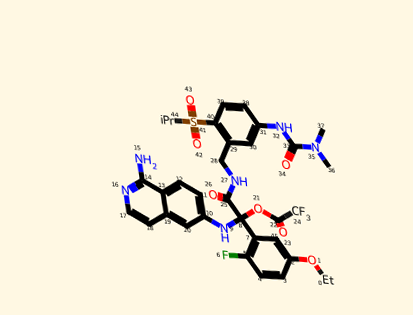 CCOc1ccc(F)c(C(Nc2ccc3c(N)nccc3c2)(OC(=O)C(F)(F)F)C(=O)NCc2cc(NC(=O)N(C)C)ccc2S(=O)(=O)C(C)C)c1